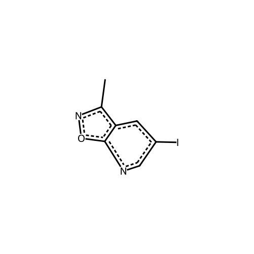 Cc1noc2ncc(I)cc12